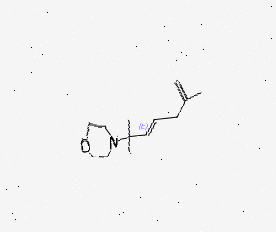 C=C(C)C/C=C/C(C)(C)N1CCOCC1